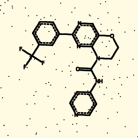 O=C(Nc1ccncc1)N1CCOc2cnc(-c3cccc(C(F)(F)F)c3)nc21